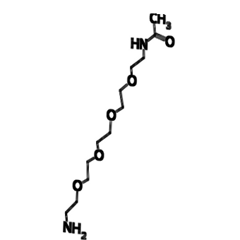 CC(=O)NCCOCCOCCOCCOCCN